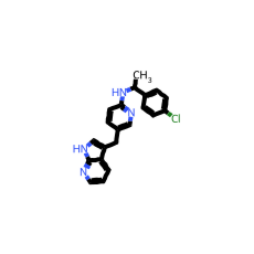 CC(Nc1ccc(Cc2c[nH]c3ncccc23)cn1)c1ccc(Cl)cc1